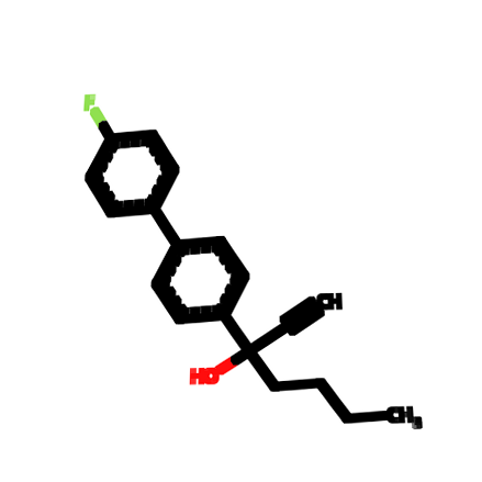 C#CC(O)(CCCC)c1ccc(-c2ccc(F)cc2)cc1